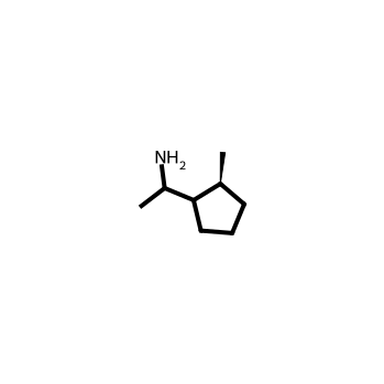 CC(N)C1CCC[C@@H]1C